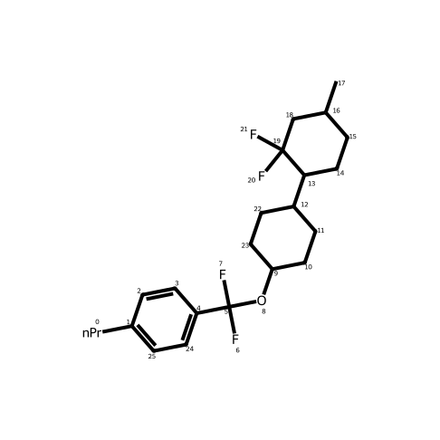 CCCc1ccc(C(F)(F)OC2CCC(C3CCC(C)CC3(F)F)CC2)cc1